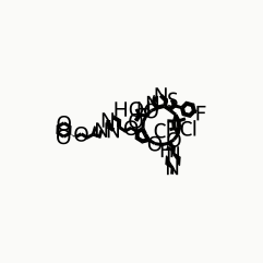 Cc1c(Cl)c2c(Cl)c(C)c1-c1c(-c3ccc(F)cc3)sc3ncnc(c13)O[C@@H](C(=O)O)Cc1cc(ccc1OCc1ccnc(N3CC(COC[C@H]4COCCO4)C3)n1)OC[C@@H](CN1CCN(C)CC1)O2